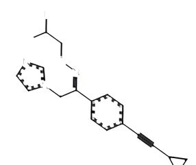 FC(F)CO/N=C(\Cn1ccnc1)c1ccc(C#CC2CC2)cc1